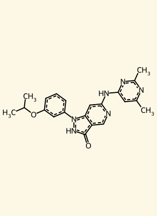 Cc1cc(Nc2cc3c(cn2)c(=O)[nH]n3-c2cccc(OC(C)C)c2)nc(C)n1